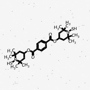 CC1(C)CC(OC(=O)c2ccc(C(=O)OC3CC(C)(C)N(S)C(C)(C)C3)cc2)CC(C)(C)N1S